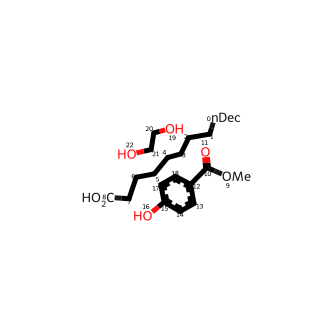 CCCCCCCCCCCCCCCCCC(=O)O.COC(=O)c1ccc(O)cc1.OCCO